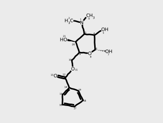 CN(C)C1C(O)[C@H](O)OC(COC(=O)c2ccccc2)[C@H]1O